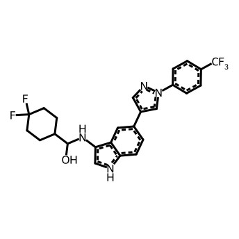 OC(Nc1c[nH]c2ccc(-c3cnn(-c4ccc(C(F)(F)F)cc4)c3)cc12)C1CCC(F)(F)CC1